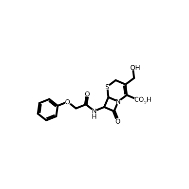 O=C(COc1ccccc1)NC1C(=O)N2C(C(=O)O)=C(CO)CSC12